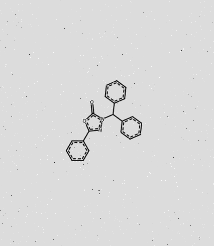 O=c1oc(-c2ccccc2)nn1C(c1ccccc1)c1ccccc1